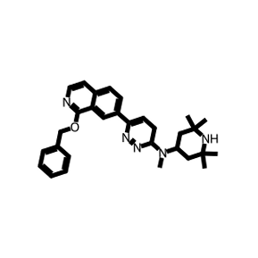 CN(C1CC(C)(C)NC(C)(C)C1)C1CC=C(c2ccc3ccnc(OCc4ccccc4)c3c2)N=N1